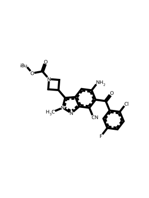 CCC(C)OC(=O)N1CC(c2c3cc(N)c(C(=O)c4cc(F)ccc4Cl)c(C#N)c3nn2C)C1